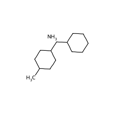 CC1CCC(CC2CCCCC2)CC1.N